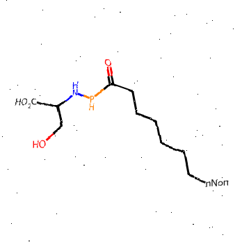 CCCCCCCCCCCCCCCC(=O)PNC(CO)C(=O)O